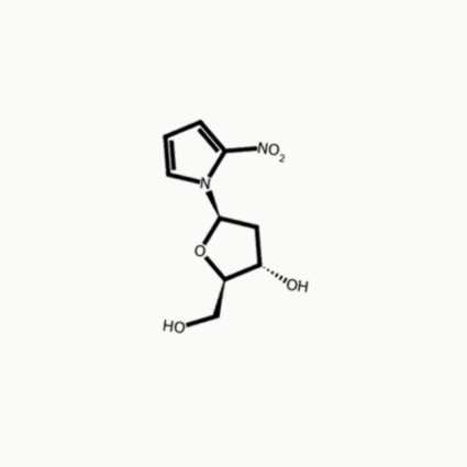 O=[N+]([O-])c1cccn1[C@H]1C[C@H](O)[C@@H](CO)O1